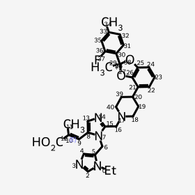 CCn1cncc1Cn1c(/C=C(\C)C(=O)O)cnc1CN1CCC(c2cccc3c2O[C@](C)(c2ccc(C)cc2F)O3)CC1